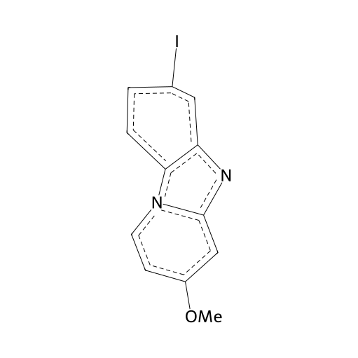 COc1ccn2c(c1)nc1cc(I)ccc12